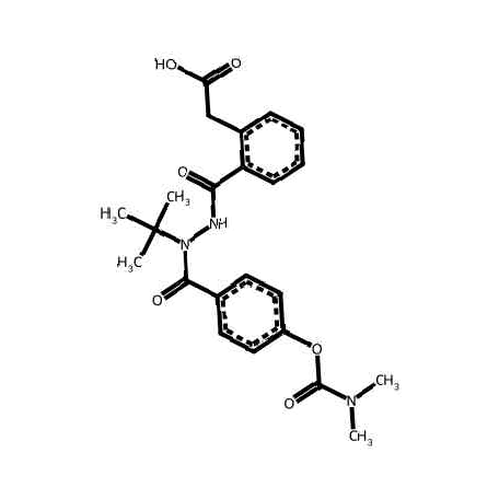 CN(C)C(=O)Oc1ccc(C(=O)N(NC(=O)c2ccccc2CC(=O)O)C(C)(C)C)cc1